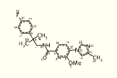 COc1nc(C(=O)NCC(C)(C)c2ccc(F)cc2)ccc1-n1cnc(C)c1